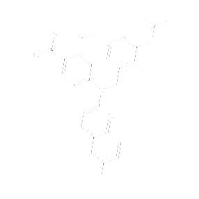 CCOc1cc(CN(c2ccc(C(=N)N)cc2)c2ccc3cc(Cl)ccc3n2)c(F)c(OC(C)C)c1